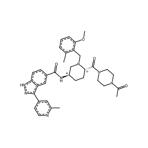 COc1cccc(F)c1CN1C[C@H](NC(=O)c2ccc3[nH]nc(-c4ccnc(C)c4)c3c2)CC[C@H]1C(=O)N1CCN(C(C)=O)CC1